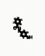 N=C1C=CC(=NOC(=O)c2ccccc2)C=C1